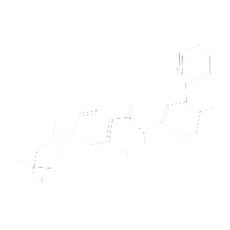 Cc1ccc(NC(=O)c2ccc(S(=O)(=O)CC(C)(C)O)cc2Cl)cc1-c1ccccn1